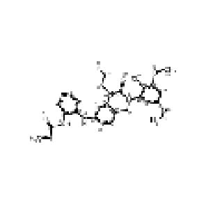 C=CC(=O)Nc1ccccc1Nc1ncc2c(n1)N(CCF)C(=O)N(c1cc(OC)cc(OC)c1Cl)C2